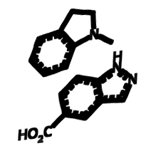 CN1CCc2ccccc21.O=C(O)c1ccc2[nH]ncc2c1